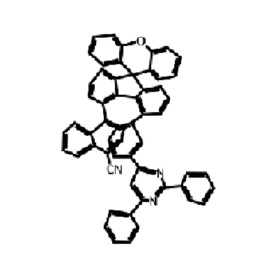 N#Cc1ccc(-c2cccc3c2-c2c(-c4cccc(-c5cc(-c6ccccc6)nc(-c6ccccc6)n5)c4)cccc2C32c3ccccc3Oc3ccccc32)c2ccccc12